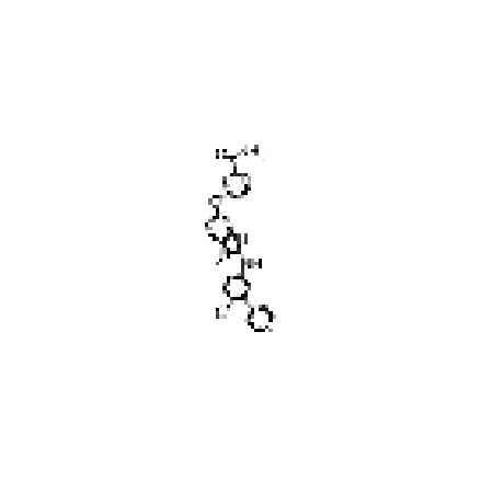 Cn1c(Nc2ccc(Cl)c(-c3ccncc3)c2)nc2cc(Oc3ccnc(C(N)=O)c3)ccc21